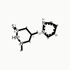 CC1CN(C)NS(=S)C1.c1ccnnc1